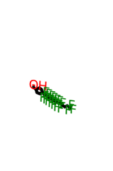 OCc1ccc(C(F)(F)C(F)(F)C(F)(F)C(F)(F)C(F)(F)C(F)(F)C(F)(F)CCC(F)(F)F)cc1